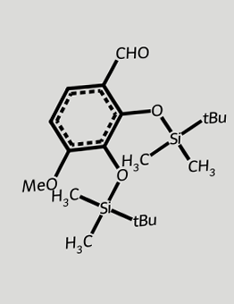 COc1ccc(C=O)c(O[Si](C)(C)C(C)(C)C)c1O[Si](C)(C)C(C)(C)C